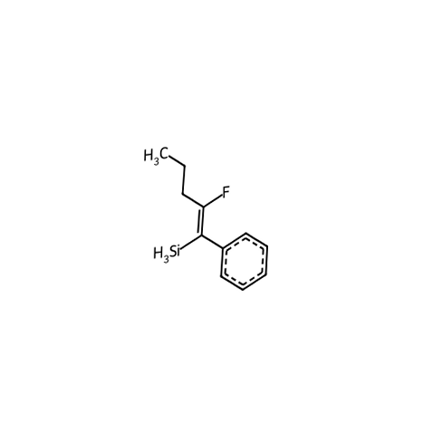 CCCC(F)=C([SiH3])c1ccccc1